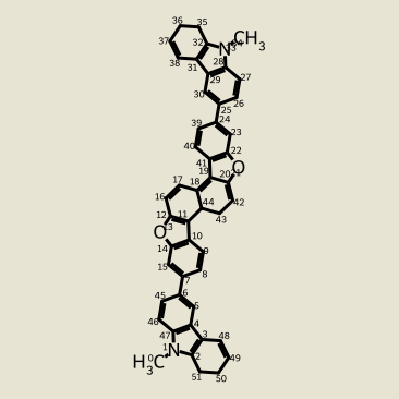 Cn1c2c(c3cc(-c4ccc5c6c(oc5c4)C=CC4=c5c(oc7cc(-c8ccc9c(c8)c8c(n9C)CCC=C8)ccc57)=CCC46)ccc31)C=CCC2